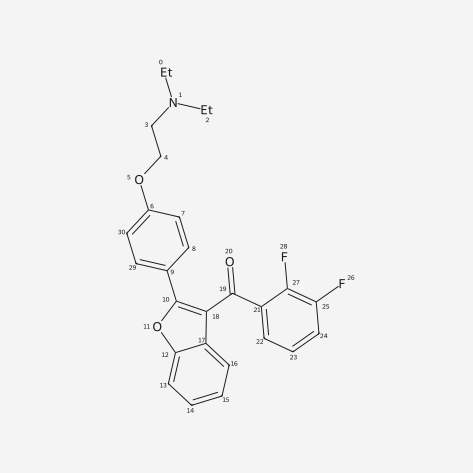 CCN(CC)CCOc1ccc(-c2oc3ccccc3c2C(=O)c2cccc(F)c2F)cc1